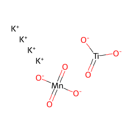 [K+].[K+].[K+].[K+].[O]=[Mn](=[O])([O-])[O-].[O]=[Ti]([O-])[O-]